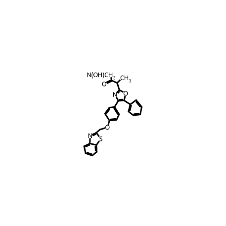 CC(C(=O)N(C)O)c1nc(-c2ccc(OCc3nc4ccccc4s3)cc2)c(-c2ccccc2)o1